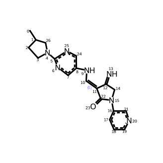 CC1CCN(c2ncc(N/C=C3\C(=N)CN(c4cccnc4)C3=O)cn2)C1